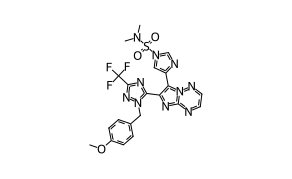 COc1ccc(Cn2nc(C(F)(F)F)nc2-c2nc3nccnn3c2-c2cn(S(=O)(=O)N(C)C)cn2)cc1